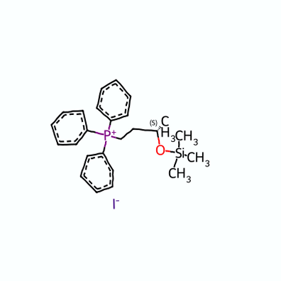 C[C@@H](CC[P+](c1ccccc1)(c1ccccc1)c1ccccc1)O[Si](C)(C)C.[I-]